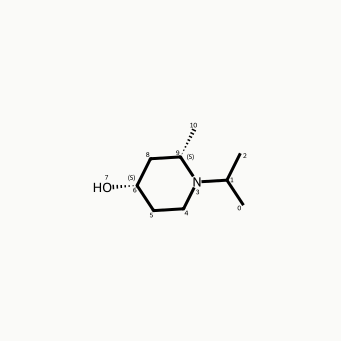 CC(C)N1CC[C@H](O)C[C@@H]1C